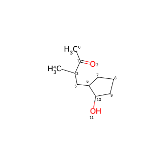 CC(=O)C(C)CC1CCCC1O